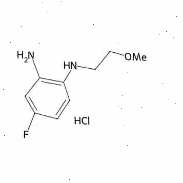 COCCNc1ccc(F)cc1N.Cl